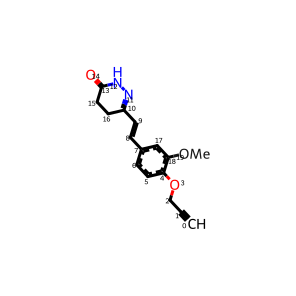 C#CCOc1ccc(C=CC2=NNC(=O)CC2)cc1OC